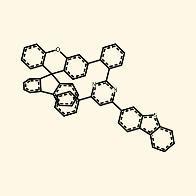 c1ccc(-c2cc(-c3ccc4c(c3)sc3ccccc34)nc(-c3ccccc3-c3ccc4c(c3)Oc3ccccc3C43c4ccccc4-c4ccccc43)n2)cc1